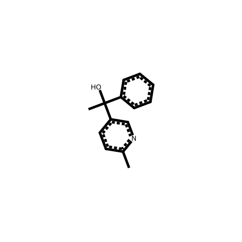 Cc1ccc(C(C)(O)c2ccccc2)cn1